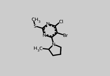 CSc1nc(Cl)c(Br)c(N2CCCC2C)n1